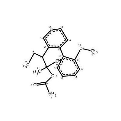 CC(C)(OC(N)=O)C(CC(F)(F)F)c1cnccc1-c1ccccc1OC(F)(F)F